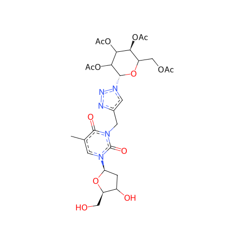 CC(=O)OCC1O[C@H](n2cc(Cn3c(=O)c(C)cn([C@H]4CC(O)[C@@H](CO)O4)c3=O)nn2)C(OC(C)=O)C(OC(C)=O)[C@H]1OC(C)=O